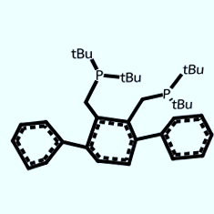 CC(C)(C)P(Cc1c(-c2ccccc2)ccc(-c2ccccc2)c1CP(C(C)(C)C)C(C)(C)C)C(C)(C)C